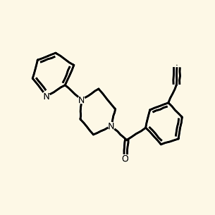 [C]#Cc1cccc(C(=O)N2CCN(c3ccccn3)CC2)c1